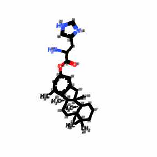 Cc1cc(OC(=O)C(N)Cc2c[nH]cn2)cc2c1[C@]1(C)CC[C@H]3C(C)(C)CCC[C@]3(C)[C@H]1C2